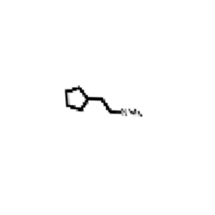 CNCCC1CCCC1